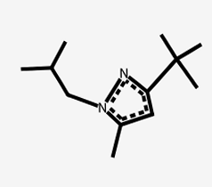 Cc1cc(C(C)(C)C)nn1CC(C)C